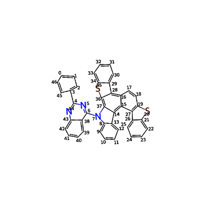 c1ccc(-c2nc(-n3c4ccccc4c4c5c(ccc6sc7ccccc7c65)c5c6ccccc6sc5c43)c3ccccc3n2)cc1